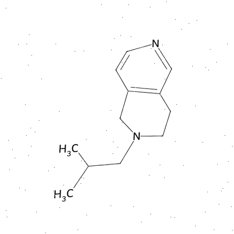 CC(C)CN1CCc2cnccc2C1